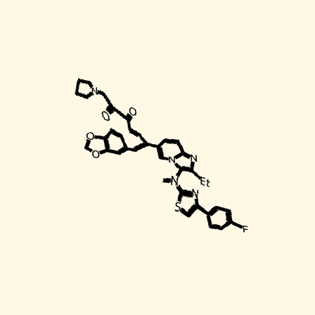 CCc1nc2ccc(C(C=CC(=O)C(=O)CN3CCCC3)=Cc3ccc4c(c3)OCO4)cn2c1N(C)c1nc(-c2ccc(F)cc2)cs1